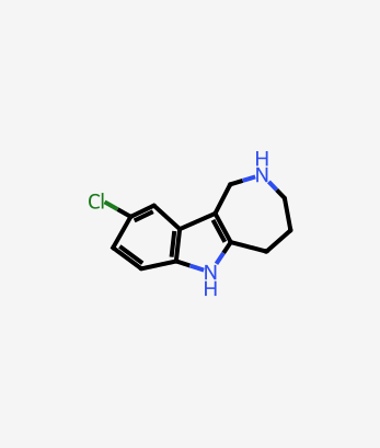 Clc1ccc2[nH]c3c(c2c1)CNCCC3